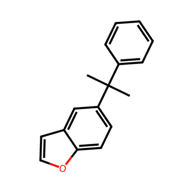 CC(C)(c1ccccc1)c1ccc2occc2c1